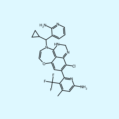 Cc1cc(N)nc(-c2cc3c4c(c2Cl)=NCNC=4N(C(c2cccnc2N)C2CC2)C=CO3)c1C(F)(F)F